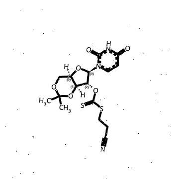 CC1(C)OC[C@H]2O[C@@H](n3ccc(=O)[nH]c3=O)[C@H](OC(=S)SCCC#N)[C@H]2O1